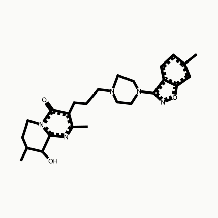 Cc1ccc2c(N3CCN(CCCc4c(C)nc5n(c4=O)CCC(C)C5O)CC3)noc2c1